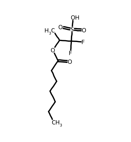 CCCCCCC(=O)OC(C)C(F)(F)S(=O)(=O)O